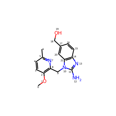 COc1ccc(C)nc1Cn1c(N)nc2ccc(CO)cc21